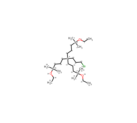 CCO[Si](C)(C)CCC[Si](CCCBr)(CCC[Si](C)(C)OCC)CCC[Si](C)(C)OCC